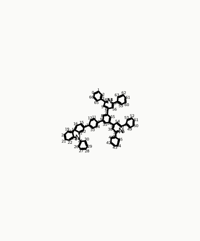 c1ccc(-c2cc(-c3cc(-c4ccc(-c5ccc6c7ccccc7n(-c7ccccc7)c6c5)cc4)cc(-c4cc(-c5ccccc5)nc(-c5ccccc5)c4)c3)cc(-c3ccccc3)n2)cc1